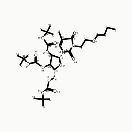 CCCCOCCn1c(=O)c(C)cn([C@@H]2O[C@H](COC(=O)OC(C)(C)C)C(OC(=O)OC(C)(C)C)C2OC(=O)OC(C)(C)C)c1=O